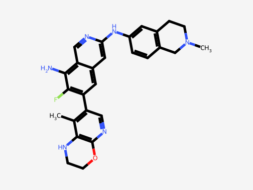 Cc1c(-c2cc3cc(Nc4ccc5c(c4)CCN(C)C5)ncc3c(N)c2F)cnc2c1NCCO2